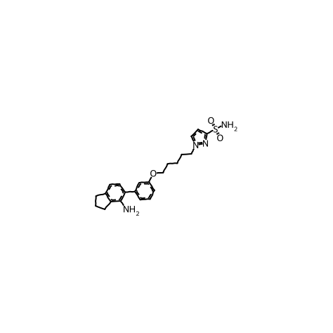 Nc1c(-c2cccc(OCCCCCn3ccc(S(N)(=O)=O)n3)c2)ccc2c1CCC2